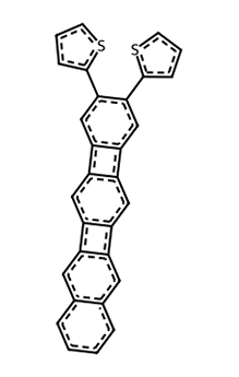 c1csc(-c2cc3c(cc2-c2cccs2)c2cc4c5cc6ccccc6cc5c4cc32)c1